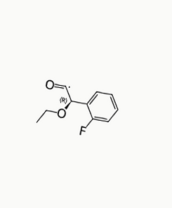 CCO[C@@H]([C]=O)c1ccccc1F